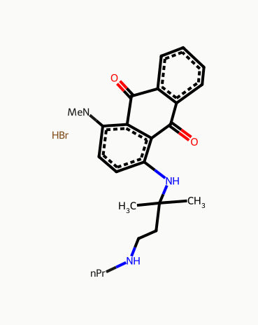 Br.CCCNCCC(C)(C)Nc1ccc(NC)c2c1C(=O)c1ccccc1C2=O